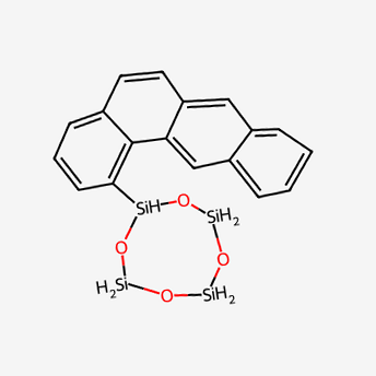 c1ccc2cc3c(ccc4cccc([SiH]5O[SiH2]O[SiH2]O[SiH2]O5)c43)cc2c1